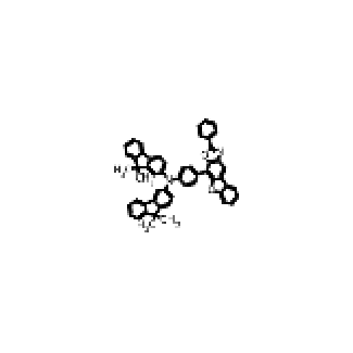 CC1(C)c2ccccc2-c2cc(N(c3ccc(-c4c5oc(-c6ccccc6)nc5cc5c4oc4ccccc45)cc3)c3ccc4c(c3)C(C)(C)c3ccccc3-4)ccc21